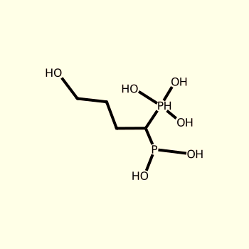 OCCCC(P(O)O)[PH](O)(O)O